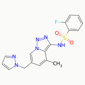 Cc1cc(Cn2cccn2)cn2nnc(NS(=O)(=O)c3ccccc3F)c12